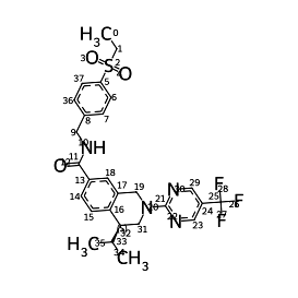 CCS(=O)(=O)c1ccc(CNC(=O)c2ccc3c(c2)CN(c2ncc(C(F)(F)F)cn2)C[C@H]3C(C)C)cc1